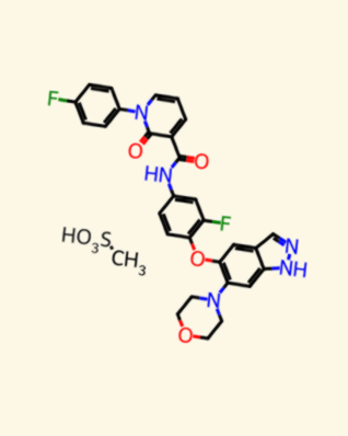 CS(=O)(=O)O.O=C(Nc1ccc(Oc2cc3cn[nH]c3cc2N2CCOCC2)c(F)c1)c1cccn(-c2ccc(F)cc2)c1=O